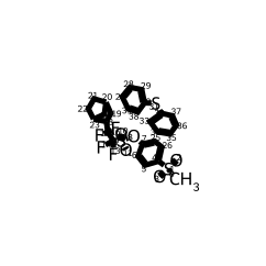 CS(=O)(=O)c1ccc(OS(=O)(=O)C(F)(F)C(F)(F)C2CC3CCC2C3)cc1.c1ccc(Sc2ccccc2)cc1